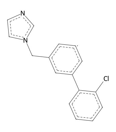 Clc1ccccc1-c1c[c]cc(Cn2ccnc2)c1